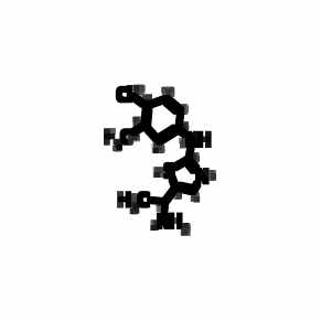 CC(N)c1cnc(Nc2ccc(Cl)c(C(F)(F)F)c2)s1